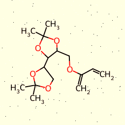 C=CC(=C)OCC1OC(C)(C)OC1C1COC(C)(C)O1